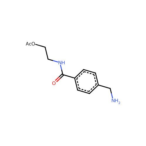 CC(=O)OCCNC(=O)c1ccc(CN)cc1